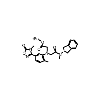 Cc1ccc(-c2noc(=O)n2C)cc1N(CC(=O)OC(C)(C)C)CC(=O)N(C)N1Cc2ccccc2C1